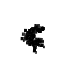 CC[C@H](C)[C@H](NC(=O)[C@@H](Cc1ccccc1)NC(=O)[C@H](CCN)NC(=O)[C@H](C)NC(=O)[C@H](CN)NC(=O)[C@H](CO)NC(=O)[C@H](CCN)NC(=O)c1ccnc(-c2ccccc2)c1)C(=O)N[C@@H](CCN)C(=O)N[C@@H](CCN)C(=O)N[C@H](C(N)=O)[C@@H](C)O